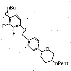 CCCCCC1CCC(c2ccc(COc3ccc(OCCCC)c(F)c3F)cc2)OC1